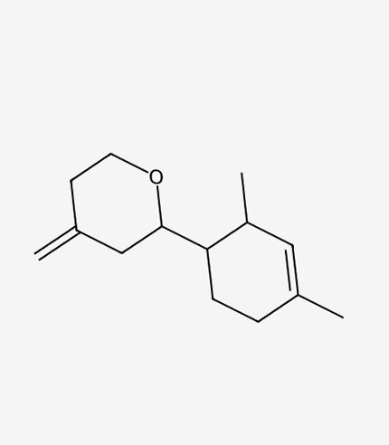 C=C1CCOC(C2CCC(C)=CC2C)C1